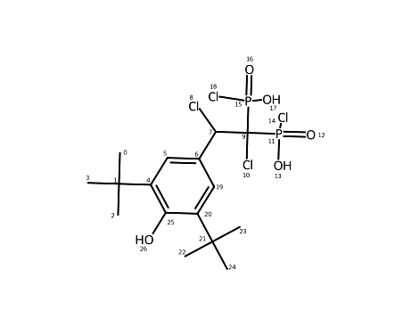 CC(C)(C)c1cc(C(Cl)C(Cl)(P(=O)(O)Cl)P(=O)(O)Cl)cc(C(C)(C)C)c1O